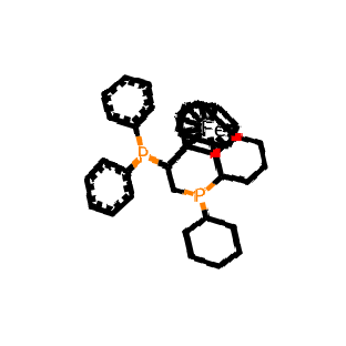 c1ccc(P(c2ccccc2)C(CP(C2CCCCC2)C2CCCCC2)[C]23[CH]4[CH]5[CH]6[CH]2[Fe]56432789[CH]3[CH]2[CH]7[CH]8[CH]39)cc1